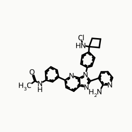 CC(=O)Nc1cccc(-c2ccc3nc(-c4cccnc4N)n(-c4ccc(C5(NCl)CCC5)cc4)c3n2)c1